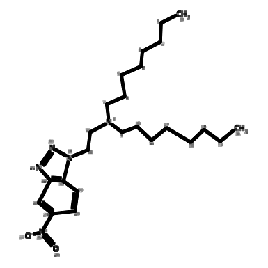 CCCCCCCCN(CCCCCCCC)CCn1nnc2cc([N+](=O)[O-])ccc21